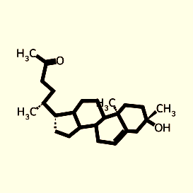 CC(=O)CC[C@@H](C)[C@H]1CCC2C3CC=C4C[C@@](C)(O)CC[C@]4(C)C3CCC21